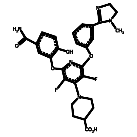 CN1CCN=C1c1cccc(Oc2nc(Oc3cc(C(N)=O)ccc3O)c(F)c(N3CCC(C(=O)O)CC3)c2F)c1